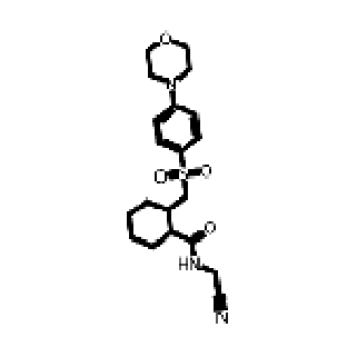 N#CCNC(=O)C1CCCCC1CS(=O)(=O)c1ccc(N2CCOCC2)cc1